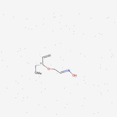 C=C[C@@H](COC)OCC=NO